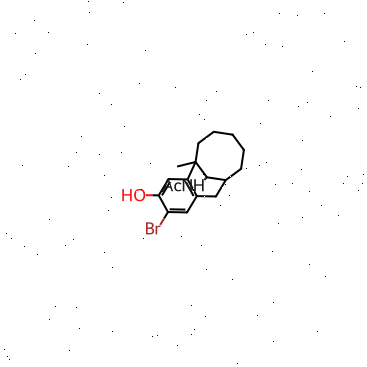 CC(=O)NC1C2CCCCCC1(C)c1cc(O)c(Br)cc1C2